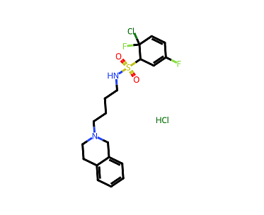 Cl.O=S(=O)(NCCCCN1CCc2ccccc2C1)C1C=C(F)C=CC1(F)Cl